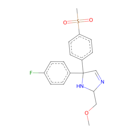 COCC1N=CC(c2ccc(F)cc2)(c2ccc(S(C)(=O)=O)cc2)N1